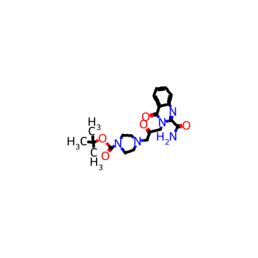 CC(C)(C)OC(=O)N1CCN(CC(=O)Cn2c(C(N)=O)nc3ccccc3c2=O)CC1